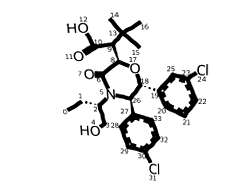 CC[C@@H](CO)N1C(=O)[C@@H](C(C(=O)O)C(C)(C)C)O[C@H](c2cccc(Cl)c2)[C@H]1c1ccc(Cl)cc1